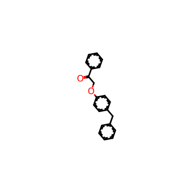 O=C(COc1ccc(Cc2ccccc2)cc1)c1ccccc1